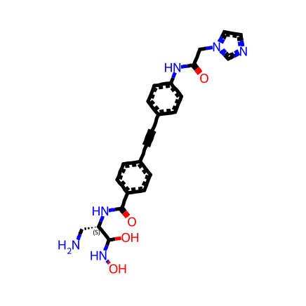 NC[C@H](NC(=O)c1ccc(C#Cc2ccc(NC(=O)Cn3ccnc3)cc2)cc1)C(O)NO